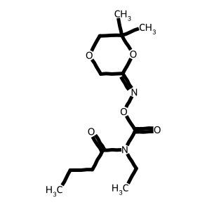 CCCC(=O)N(CC)C(=O)ON=C1COCC(C)(C)O1